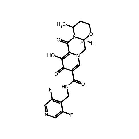 CC1CCO[C@H]2Cn3cc(C(=O)NCc4c(F)cncc4F)c(=O)c(O)c3C(=O)N12